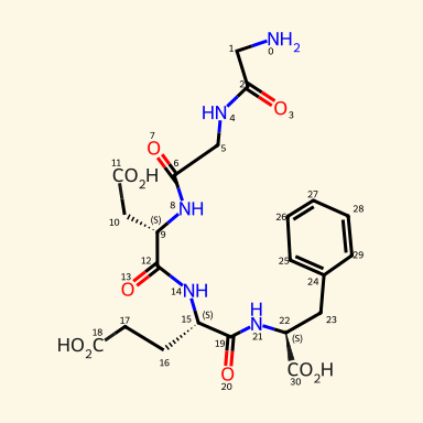 NCC(=O)NCC(=O)N[C@@H](CC(=O)O)C(=O)N[C@@H](CCC(=O)O)C(=O)N[C@@H](Cc1ccccc1)C(=O)O